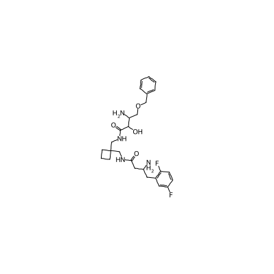 NC(CC(=O)NCC1(CNC(=O)C(O)C(N)COCc2ccccc2)CCC1)Cc1cc(F)ccc1F